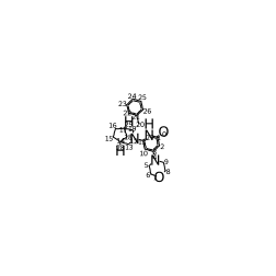 O=c1cc(N2CCOCC2)cc(N2C[C@@H]3CC[C@@H](C3)[C@@H]2Cc2ccccc2)[nH]1